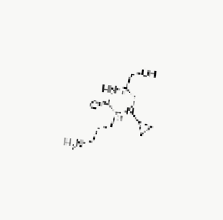 NCCC[C@H]1C(=O)N[C@@H](CO)CN1C1CC1